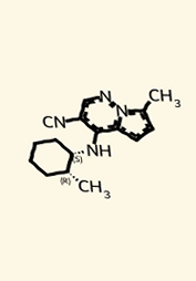 [C-]#[N+]c1cnn2c(C)ccc2c1N[C@H]1CCCC[C@H]1C